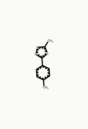 Cc1ccc(-c2nnc(C)s2)cc1